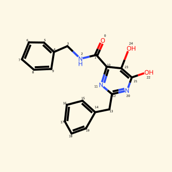 O=C(NCc1ccccc1)c1nc(Cc2ccccc2)nc(O)c1O